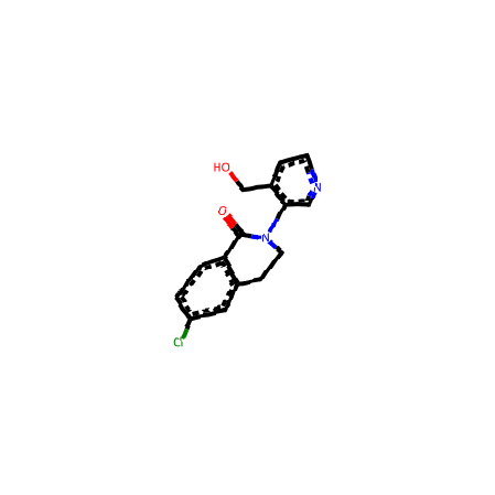 O=C1c2ccc(Cl)cc2CCN1c1cnccc1CO